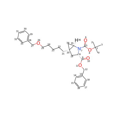 CC(C)(C)OC(=O)N1[C@H](C(=O)OCc2ccccc2)C[C@@]2(CCCCCOCc3ccccc3)C[C@@H]12